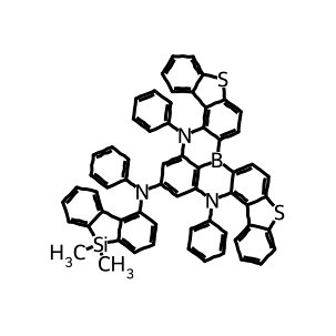 C[Si]1(C)c2ccccc2-c2c(N(c3ccccc3)c3cc4c5c(c3)N(c3ccccc3)c3c(ccc6sc7ccccc7c36)B5c3ccc5sc6ccccc6c5c3N4c3ccccc3)cccc21